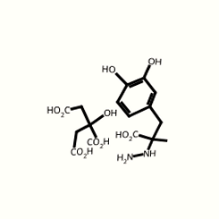 CC(Cc1ccc(O)c(O)c1)(NN)C(=O)O.O=C(O)CC(O)(CC(=O)O)C(=O)O